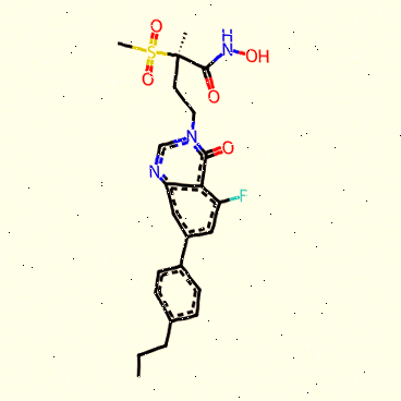 CCCc1ccc(-c2cc(F)c3c(=O)n(CC[C@](C)(C(=O)NO)S(C)(=O)=O)cnc3c2)cc1